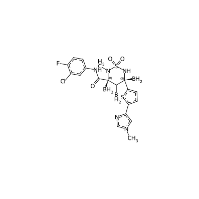 BC1[C@](B)(C(=O)Nc2ccc(F)c(Cl)c2)N(C)S(=O)(=O)N[C@]1(B)c1ccc(-c2cn(C)cn2)s1